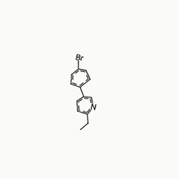 CCc1ccc(-c2ccc(Br)cc2)cn1